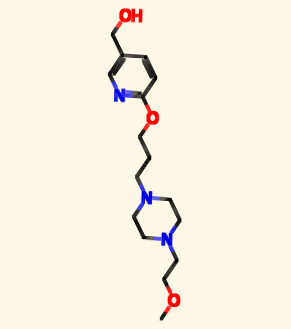 COCCN1CCN(CCCOc2ccc(CO)cn2)CC1